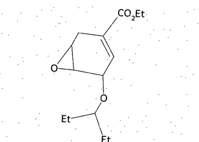 CCOC(=O)C1=CC(OC(CC)CC)C2OC2C1